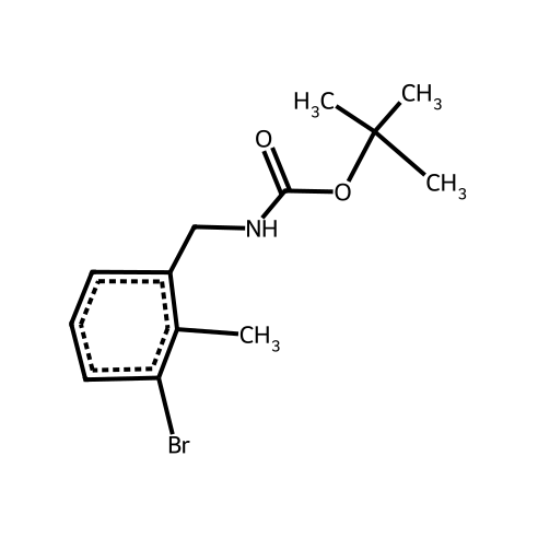 Cc1c(Br)cccc1CNC(=O)OC(C)(C)C